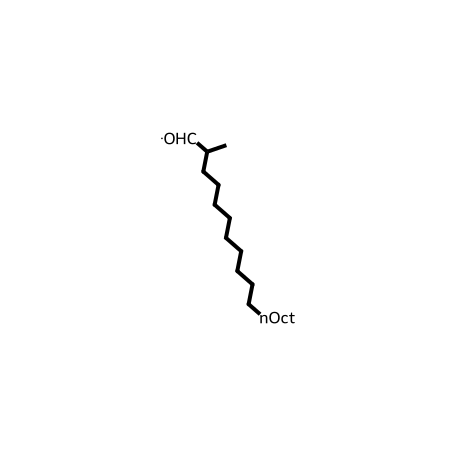 CCCCCCCCCCCCCCCCCC(C)[C]=O